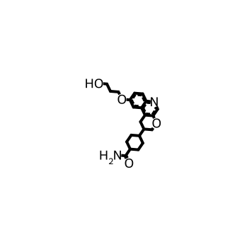 NC(=O)C1CCC(C2COc3cnc4ccc(OCCCO)cc4c3C2)CC1